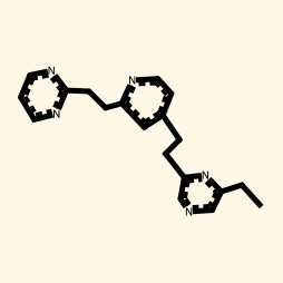 CCc1cncc(CCc2ccnc(CCc3ncccn3)c2)n1